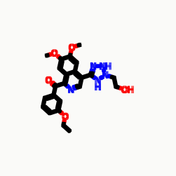 CCOc1cccc(C(=O)c2ncc(C3=NNN(CCO)N3)c3cc(OC)c(OC)cc23)c1